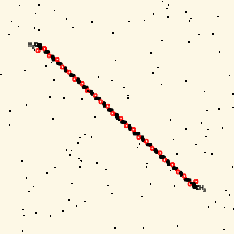 C=CC(=O)OCCOCCOCCOCCOCCOCCOCCOCCOCCOCCOCCOCCOCCOCCOCCOCCOCCOCCOCCOCCOCCOCCOCCOC(=O)C=C